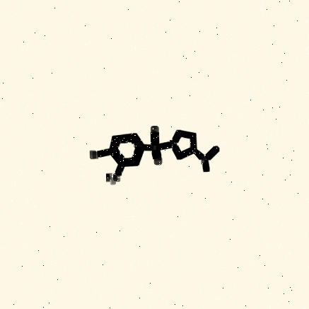 CN(C)[C@@H]1CCN(S(=O)(=O)c2ccc(Br)c(C(F)(F)F)c2)C1